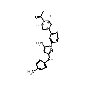 CC(=O)N1[C@H](C)CN(c2cc(-n3nc(Nc4ccc(N)cc4)nc3N)ccn2)C[C@@H]1C